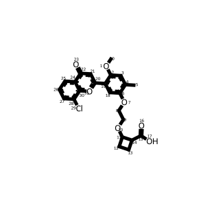 COc1cc(C)c(OCCOC2CCC2C(=O)O)cc1-c1cc(=O)c2cccc(Cl)c2o1